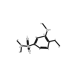 CCc1ccc(S(=O)(=O)N(C)C)cc1OC